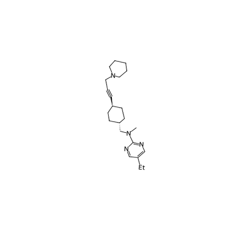 CCc1cnc(N(C)C[C@H]2CC[C@H](C#CCN3CCCCC3)CC2)nc1